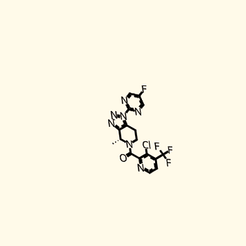 C[C@@H]1c2nnn(-c3ncc(F)cn3)c2CCN1C(=O)c1nccc(C(F)(F)F)c1Cl